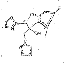 C[C@@H](n1cncn1)C(O)(Cn1cncn1)c1ccc(F)cc1F